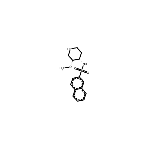 CO[C@@H]1CNCC[C@@H]1NS(=O)(=O)c1ccc2ccccc2c1